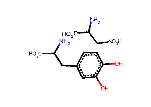 NC(CS(=O)(=O)O)C(=O)O.NC(Cc1ccc(O)c(O)c1)C(=O)O